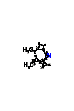 CCC1CC[C@H]1C1=NC1C1(C2CC2C)CC1